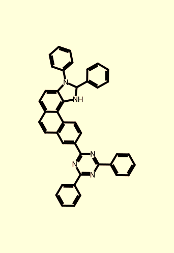 c1ccc(-c2nc(-c3ccccc3)nc(-c3ccc4c(ccc5ccc6c(c54)NC(c4ccccc4)N6c4ccccc4)c3)n2)cc1